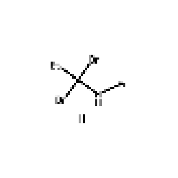 CCC(Br)(Br)NBr.[H+]